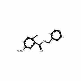 COc1ccc(C)c(C(=O)OCc2ccccc2)c1